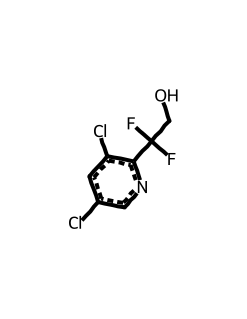 OCC(F)(F)c1ncc(Cl)cc1Cl